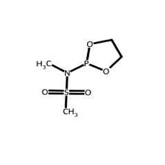 CN(P1OCCO1)S(C)(=O)=O